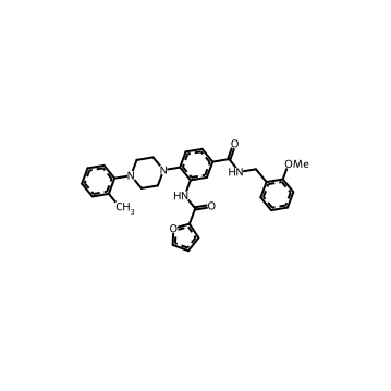 COc1ccccc1CNC(=O)c1ccc(N2CCN(c3ccccc3C)CC2)c(NC(=O)c2ccco2)c1